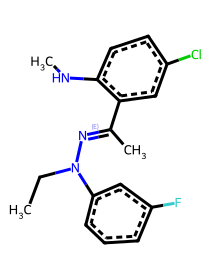 CCN(/N=C(\C)c1cc(Cl)ccc1NC)c1cccc(F)c1